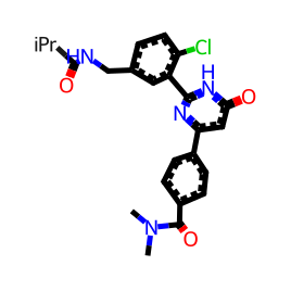 CC(C)C(=O)NCc1ccc(Cl)c(-c2nc(-c3ccc(C(=O)N(C)C)cc3)cc(=O)[nH]2)c1